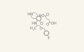 C[C@H](COCc1ccc(F)cc1)Nc1c(Cl)ccc2c1CCNCC2.O=C(O)CCC(=O)O